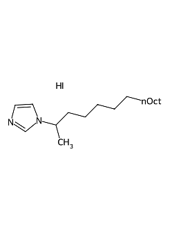 CCCCCCCCCCCCCC(C)n1ccnc1.I